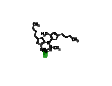 CCCCC1=CC(C)=[C]([Zr]([C]2=C(C)C=C(CCCC)C2)[SiH](C)C)C1.F.F